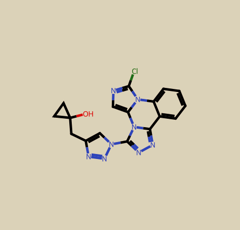 OC1(Cc2cn(-c3nnc4c5ccccc5n5c(Cl)ncc5n34)nn2)CC1